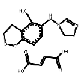 Cc1c(NN2C=NCC2)ccc2c1CCOO2.O=C(O)C=CC(=O)O